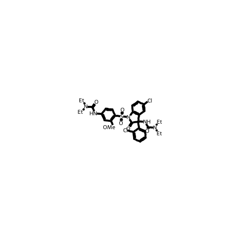 CCN(CC)C(=O)Nc1ccc(S(=O)(=O)N2C(=O)C(NC(=O)N(CC)CC)(c3ccccc3Cl)c3cc(Cl)ccc32)c(OC)c1